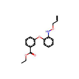 C=CCONc1ccccc1Oc1cccc(C(=O)OCC)c1